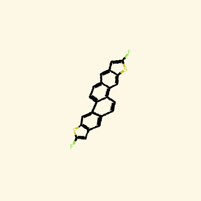 Fc1cc2cc3ccc4c5cc6sc(F)cc6cc5ccc4c3cc2s1